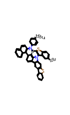 CC(C)(C)c1ccc(N2B3c4sc5ccc(C(C)(C)C)cc5c4-n4c5cc6sc7ccccc7c6cc5c5ccc(c3c54)-c3c2ccc2ccccc32)cc1